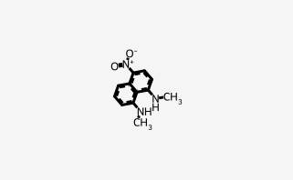 CNc1cccc2c([N+](=O)[O-])ccc(NC)c12